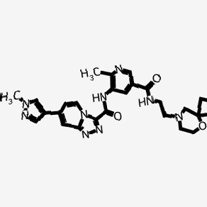 Cc1ncc(C(=O)NCCN2CCOC3(CCC3)C2)cc1NC(=O)c1nnc2cc(-c3cnn(C)c3)ccn12